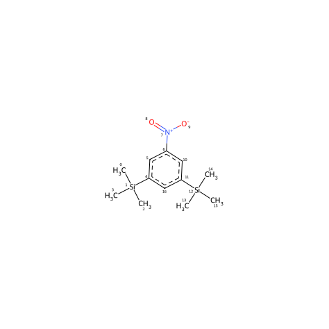 C[Si](C)(C)c1cc([N+](=O)[O-])cc([Si](C)(C)C)c1